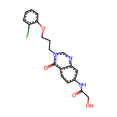 O=C(CO)Nc1ccc2c(=O)n(CCCOc3ccccc3F)cnc2c1